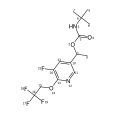 CC(OC(=O)NC(C)(C)C)c1cnc(OCC(F)(F)F)c(F)c1